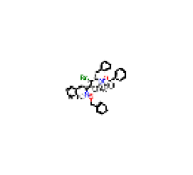 CC(=O)O[C@@H]([C@@H](Br)[C@H](Cc1ccccc1)N(C=O)OCc1ccccc1)[C@H](Cc1ccccc1)N(C=O)OCc1ccccc1